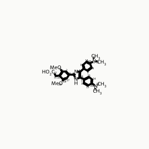 COc1cc(-c2nc(-c3ccc(N(C)C)cc3)c(-c3ccc(N(C)C)cc3)[nH]2)cc(OC)c1CC(=O)O